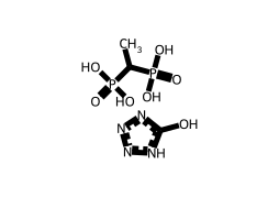 CC(P(=O)(O)O)P(=O)(O)O.Oc1nnn[nH]1